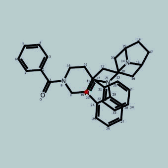 O=C(c1ccccc1)N1CCC(CCN2C3CCC2CC(n2cnc4ccccc42)C3)(c2ccccc2)CC1